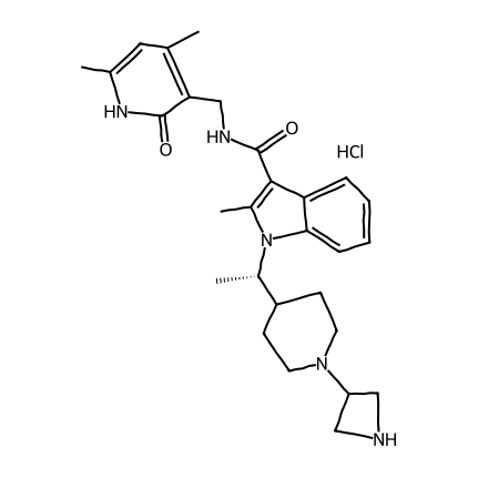 Cc1cc(C)c(CNC(=O)c2c(C)n([C@@H](C)C3CCN(C4CNC4)CC3)c3ccccc23)c(=O)[nH]1.Cl